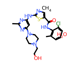 C.Cc1nc(Nc2ncc(C(=O)Nc3c(C)cccc3Cl)s2)cc(N2CCN(CCO)CC2)n1.O